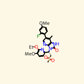 CCOc1nc([C@@H](CS(C)(=O)=O)n2c(=O)[nH]c3c(C)c(-c4ccc(OC)cc4F)cnc32)ccc1OC